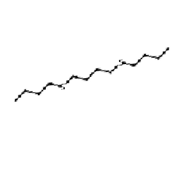 CCCCSCCCCSCCCC